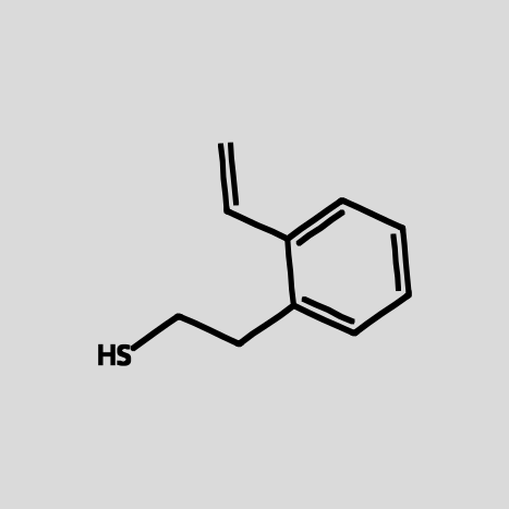 C=Cc1ccccc1CCS